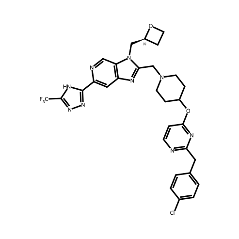 FC(F)(F)c1nnc(-c2cc3nc(CN4CCC(Oc5ccnc(Cc6ccc(Cl)cc6)n5)CC4)n(C[C@@H]4CCO4)c3cn2)[nH]1